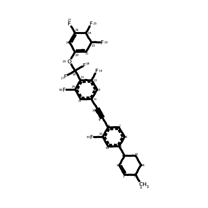 CC1C=CC(c2ccc(C#Cc3cc(F)c(C(F)(F)OC4=CC(F)C(F)C(F)=C4)c(F)c3)c(F)c2)CC1